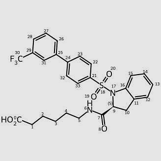 O=C(O)CCCCCNC(=O)[C@@H]1Cc2ccccc2N1S(=O)(=O)c1ccc(-c2cccc(C(F)(F)F)c2)cc1